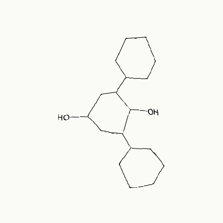 OC1CC(C2CCCCC2)C(O)C(C2CCCCC2)C1